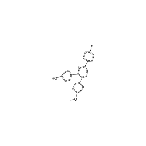 COc1ccc(-c2ccc(-c3ccc(F)cc3)nc2-c2ccc(O)cc2)cc1